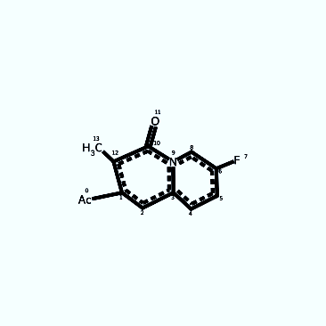 CC(=O)c1cc2ccc(F)cn2c(=O)c1C